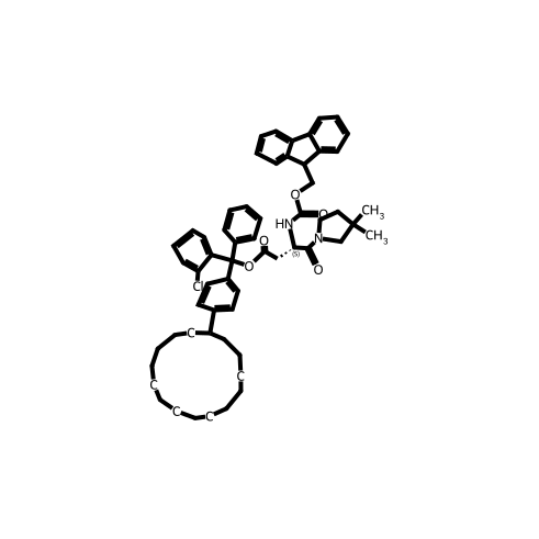 CC1(C)CCN(C(=O)[C@H](CC(=O)OC(c2ccccc2)(c2ccc(C3CCCCCCCCCCCCCC3)cc2)c2ccccc2Cl)NC(=O)OCC2c3ccccc3-c3ccccc32)C1